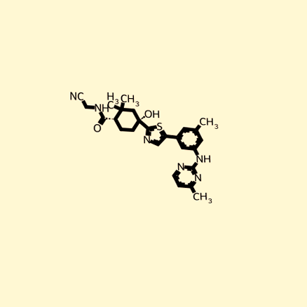 Cc1cc(Nc2nccc(C)n2)cc(-c2cnc([C@@]3(O)CC[C@H](C(=O)NCC#N)C(C)(C)C3)s2)c1